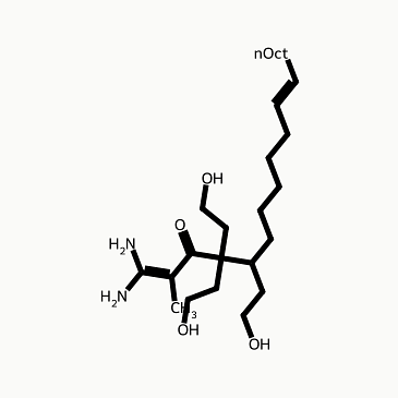 CCCCCCCCC=CCCCCCC(CCO)C(CCO)(CCO)C(=O)C(C)=C(N)N